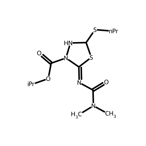 CCCSC1NN(C(=O)OC(C)C)C(=NC(=O)N(C)C)S1